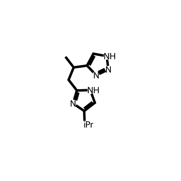 CC(C)c1c[nH]c(CC(C)c2c[nH]nn2)n1